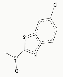 C[S+]([O-])c1nc2ccc(Cl)cc2s1